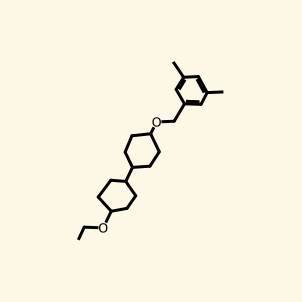 CCOC1CCC(C2CCC(OCc3cc(C)cc(C)c3)CC2)CC1